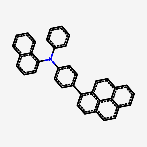 c1ccc(N(c2ccc(-c3ccc4ccc5cccc6ccc3c4c56)cc2)c2cccc3ccccc23)cc1